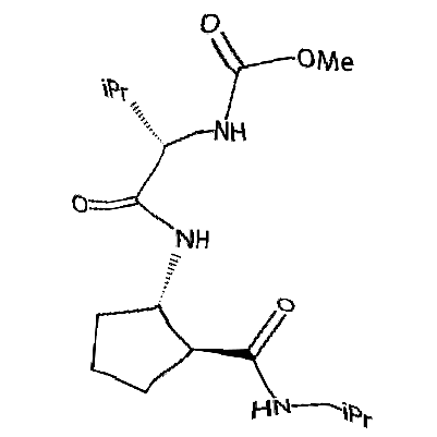 COC(=O)N[C@H](C(=O)N[C@H]1CCC[C@@H]1C(=O)NC(C)C)C(C)C